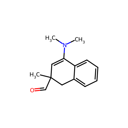 CN(C)C1=CC(C)(C=O)Cc2ccccc21